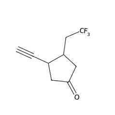 C#CC1CC(=O)CC1CC(F)(F)F